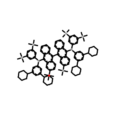 C[Si](C)(C)c1cc(N(c2cc(C3CCCCC3)cc(C3CCCCC3)c2)c2c3ccccc3c(-c3c4ccccc4c(N(c4cc(C5CCCCC5)cc(C5CCCCC5)c4)c4cc([Si](C)(C)C)cc([Si](C)(C)C)c4)c4cc([Si](C)(C)C)ccc34)c3cc([Si](C)(C)C)ccc23)cc([Si](C)(C)C)c1